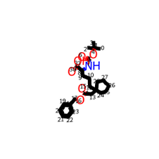 CC(C)(C)OC(=O)NC(CCCC1(CC(=O)OCc2ccccc2)CCCCC1)C(=O)O